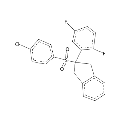 O=S(=O)(c1ccc(Cl)cc1)C1(c2cc(F)ccc2F)Cc2ccccc2C1